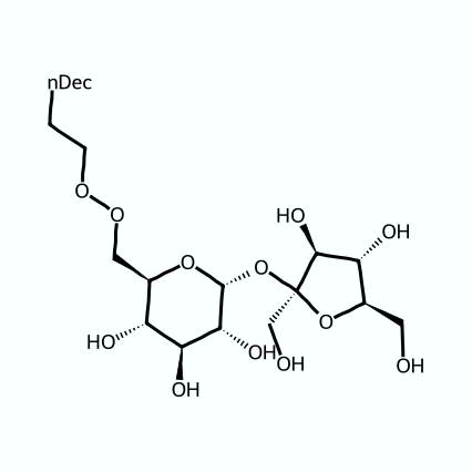 CCCCCCCCCCCCOOC[C@H]1O[C@H](O[C@]2(CO)O[C@H](CO)[C@@H](O)[C@@H]2O)[C@H](O)[C@@H](O)[C@@H]1O